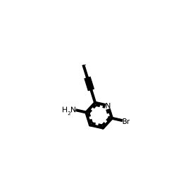 [CH2]C#Cc1nc(Br)ccc1N